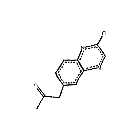 CC(=O)Cc1ccc2nc(Cl)cnc2c1